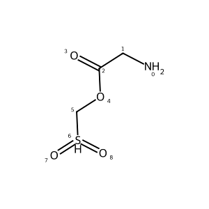 NCC(=O)OC[SH](=O)=O